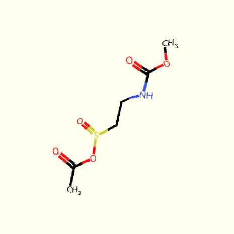 COC(=O)NCCS(=O)OC(C)=O